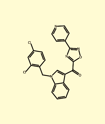 O=C(c1nc(-c2ccncc2)no1)c1cn(Cc2ccc(Cl)cc2Cl)c2ccccc12